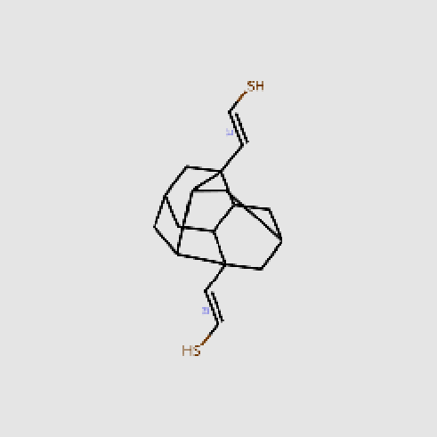 S/C=C/C12CC3CC4C1CC1CC2C(C3)C4(/C=C/S)C1